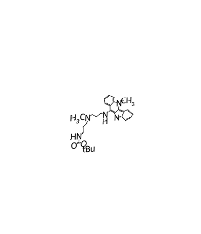 CN(CCCNC(=O)OC(C)(C)C)CCCNc1c2nc3ccccc3c-2n(C)c2ccccc12